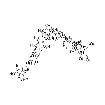 C=C(C)C(=O)O.C=C(C)C(=O)O.C=C(C)C(=O)O.C=C(C)C(=O)O.C=C(C)C(=O)O.C=C(C)C(=O)O.C=CC(=O)O.C=CC(=O)O.C=CC(=O)O.CCC(O)OC(O)CC.CCOC(CO)(CO)C(CCO)(OCC)OCC.OCCCC(CO)CO